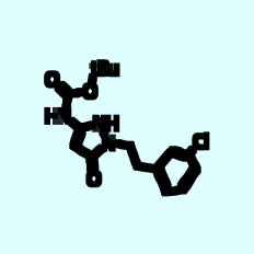 CC(C)(C)OC(=O)Nc1cc(=O)n(CCc2cccc(Cl)c2)[nH]1